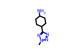 Cn1nnc(C2CCC(N)CC2)n1